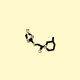 CC1CCCN(C(=O)CSc2nc[nH]n2)C1